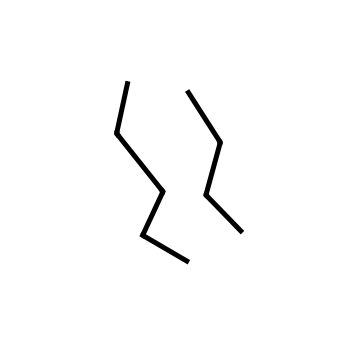 CCCC.CCCCC